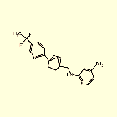 Bc1ccnc(NCC23CCC(c4ccc(C(C)(F)F)cn4)(CC2)C3)c1